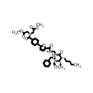 CCCCC[C@@H](C(=O)NCNC(=O)c1ccc(-c2ccc(C(=O)N(CC(=O)OC)CC(=O)OC)cc2)o1)[C@@H](CC)N(C=O)OCc1ccccc1